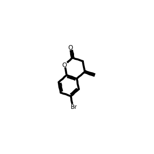 C=C1CC(=O)Oc2ccc(Br)cc21